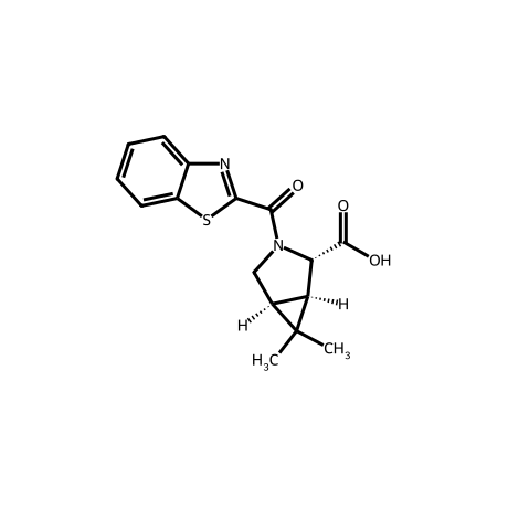 CC1(C)[C@@H]2[C@@H](C(=O)O)N(C(=O)c3nc4ccccc4s3)C[C@@H]21